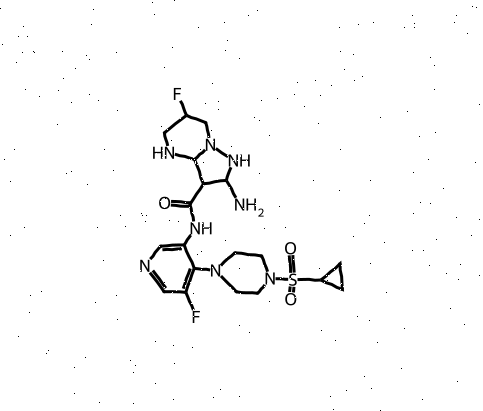 NC1NN2CC(F)CNC2C1C(=O)Nc1cncc(F)c1N1CCN(S(=O)(=O)C2CC2)CC1